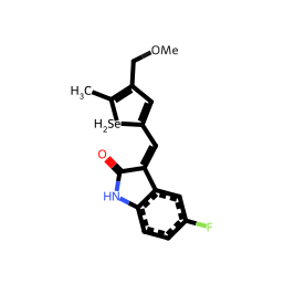 COCC1=C(C)[SeH2]C(/C=C2\C(=O)Nc3ccc(F)cc32)=C1